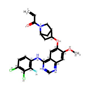 C=CC(=O)N1CC2CC1CC2Oc1cc2c(Nc3ccc(Cl)c(Cl)c3F)ncnc2cc1OC